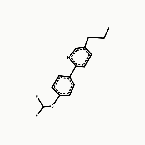 CCCc1ccc(-c2ccc(SC(F)F)cc2)nc1